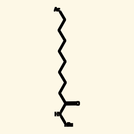 CCCCNC(=O)CCCCCCCCC(C)=O